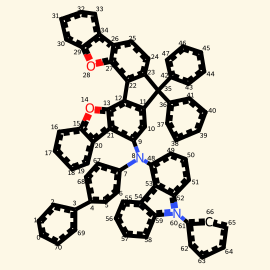 c1ccc(-c2ccc(N(c3cc4c(c5oc6ccccc6c35)-c3c(ccc5c3oc3ccccc35)C4(c3ccccc3)c3ccccc3)c3cccc4c3c3ccccc3n4-c3ccccc3)cc2)cc1